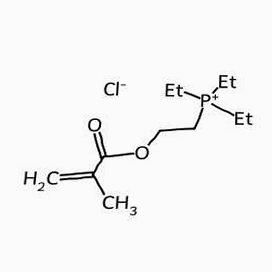 C=C(C)C(=O)OCC[P+](CC)(CC)CC.[Cl-]